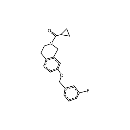 O=C(C1CC1)N1CCc2ncc(OCc3cccc(F)c3)cc2C1